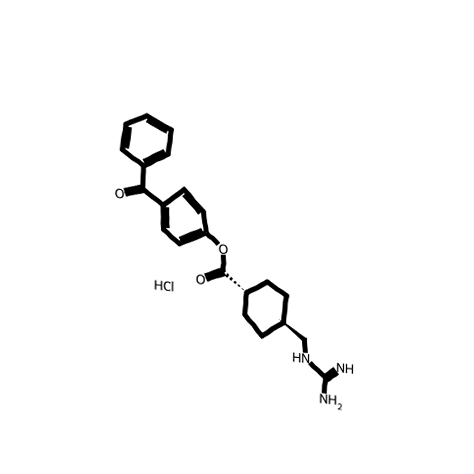 Cl.N=C(N)NC[C@H]1CC[C@H](C(=O)Oc2ccc(C(=O)c3ccccc3)cc2)CC1